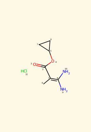 CC(C(=O)OC1CC1)=C(N)N.Cl